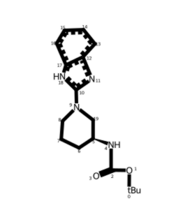 CC(C)(C)OC(=O)N[C@H]1CCCN(c2nc3ccccc3[nH]2)C1